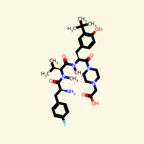 CC(C)[C@@H](C(=O)N(C)[C@@H](Cc1ccc(O)c(C(C)(C)C)c1)C(=O)N1CCN(CC(=O)O)CC1)N(C)C(=O)[C@@H](N)Cc1ccc(F)cc1